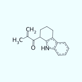 C=C(C)C(=O)C1CCCc2c1[nH]c1ccccc21